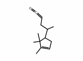 CC1=CCC(C(C)CC=C=O)C1(C)C